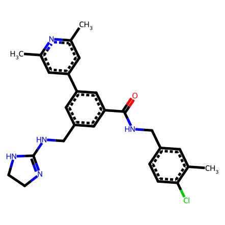 Cc1cc(-c2cc(CNC3=NCCN3)cc(C(=O)NCc3ccc(Cl)c(C)c3)c2)cc(C)n1